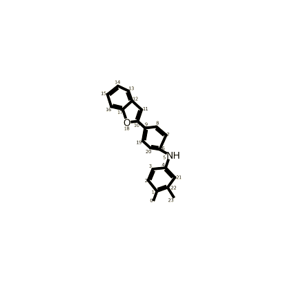 Cc1ccc(Nc2ccc(-c3cc4ccccc4o3)cc2)cc1C